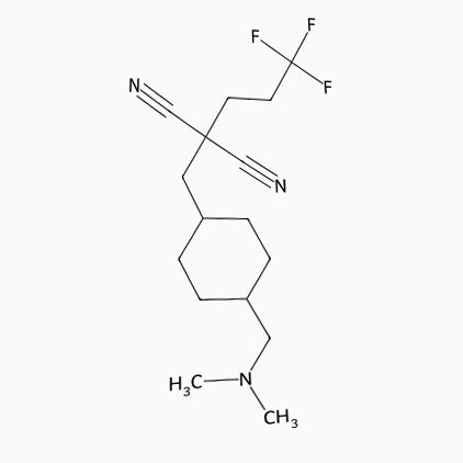 CN(C)CC1CCC(CC(C#N)(C#N)CCC(F)(F)F)CC1